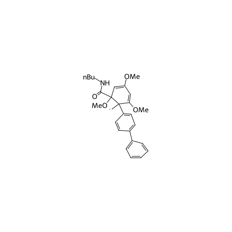 [CH2]C1(c2ccc(-c3ccccc3)cc2)C(OC)=CC(OC)=CC1(OC)C(=O)NCCCC